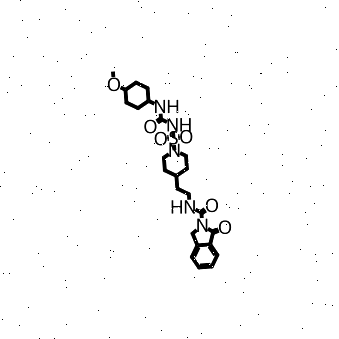 COC1CCC(NC(=O)NS(=O)(=O)N2CCC(CCNC(=O)N3Cc4ccccc4C3=O)CC2)CC1